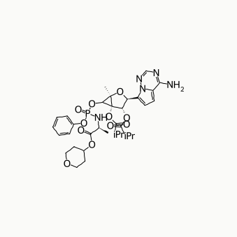 CC(C)C(=O)O[C@H]1[C@H](c2ccc3c(N)ncnn23)O[C@]2(C)C(OP(=O)(N[C@@H](C)C(=O)OC3CCOCC3)Oc3ccccc3)[C@]12OC(=O)C(C)C